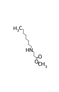 CCCCCCCCNCCC(=O)OC